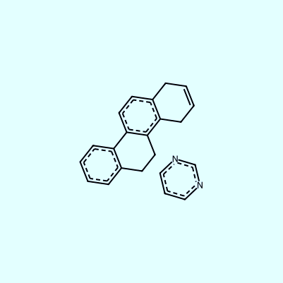 C1=CCc2c(ccc3c2CCc2ccccc2-3)C1.c1cncnc1